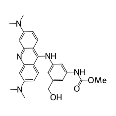 COC(=O)Nc1cc(CO)cc(Nc2c3ccc(N(C)C)cc3nc3cc(N(C)C)ccc23)c1